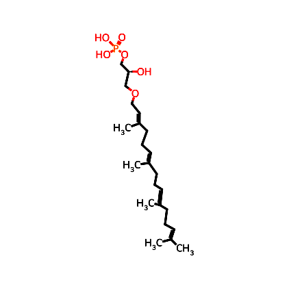 CC(C)=CCC/C(C)=C/CC/C(C)=C/CC/C(C)=C/COC[C@H](O)COP(=O)(O)O